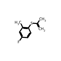 C=C(C)Sc1ccc(F)cc1C